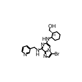 OC[C@H]1CCCCC1Nc1cn2c(Br)cnc2c(NCc2cccnc2)n1